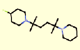 CC(C)(CCC(C)(C)N1CCC(F)CC1)N1CCCCC1